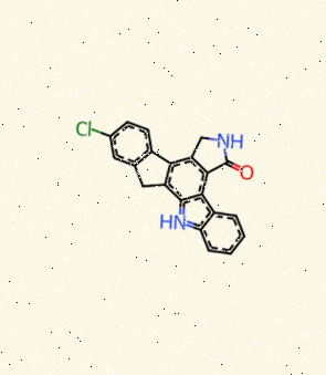 O=C1NCc2c3c(c4[nH]c5ccccc5c4c21)Cc1cc(Cl)ccc1-3